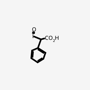 O=IC(C(=O)O)c1ccccc1